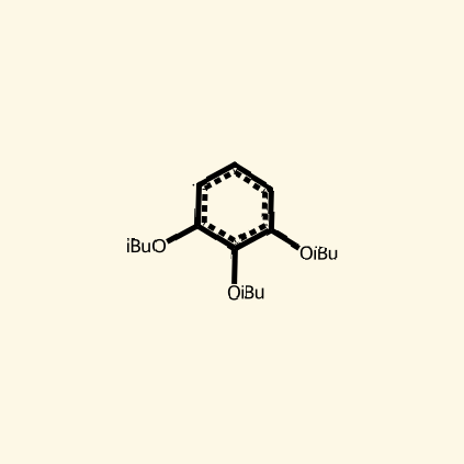 CC(C)COc1[c]ccc(OCC(C)C)c1OCC(C)C